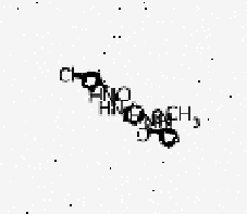 CN(C)c1ccccc1C(=O)NC1CCC(NC(=O)NCc2ccc(Cl)cc2)CC1